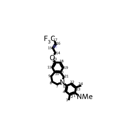 CNc1c(C)cc(N2CCCc3cc(OC/C=C/C(F)(F)F)ccc3C2)cc1C